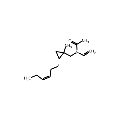 C=CN(CC1(C)C[C@H]1CC/C=C\CC)C(C)=O